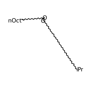 CCCCCCCCC=CCCCCCCCCCCCC(=O)OCCCCCCCCCCCCCCCCCCCCCCCCCCCCCCCCCCCCC(C)C